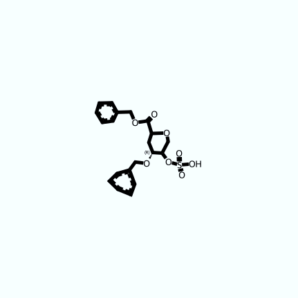 O=C(OCc1ccccc1)C1C[C@@H](OCc2ccccc2)C(OS(=O)(=O)O)CO1